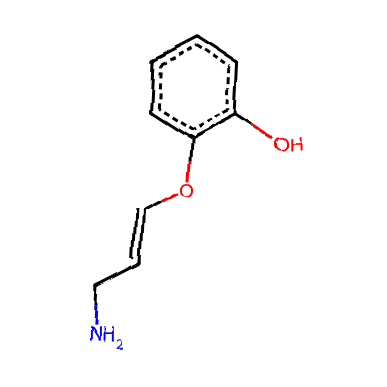 NCC=COc1ccccc1O